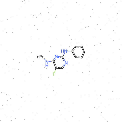 CCCNc1nc(Nc2ccccc2)ncc1F